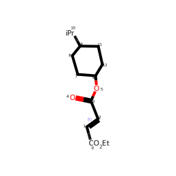 CCOC(=O)/C=C/C(=O)OC1CCC(C(C)C)CC1